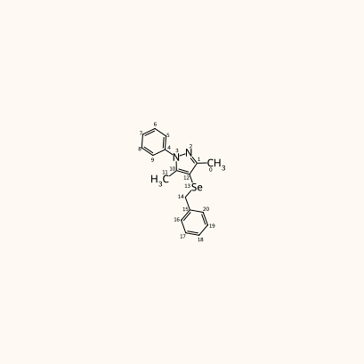 Cc1nn(-c2ccccc2)c(C)c1[Se]Cc1ccccc1